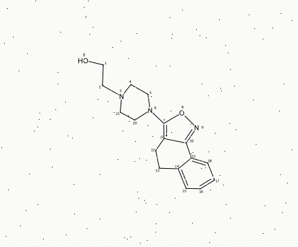 OCCN1CCN(c2onc3c2CCc2ccccc2-3)CC1